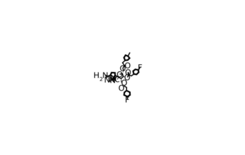 Cc1ccc(CC(=O)OC[C@H]2O[C@@](C#N)(c3ccc4c(N)ncnn34)[C@H](COC(=O)Cc3ccc(F)cc3)[C@@H]2OC(=O)Cc2ccc(F)cc2)cc1